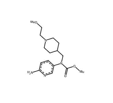 COCCN1CCC(CN(C(=O)OC(C)(C)C)c2ccc(N)nc2)CC1